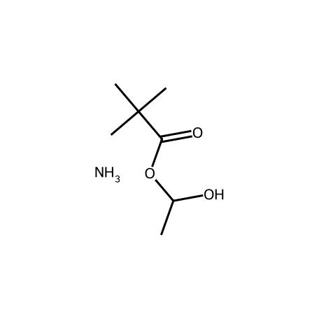 CC(O)OC(=O)C(C)(C)C.N